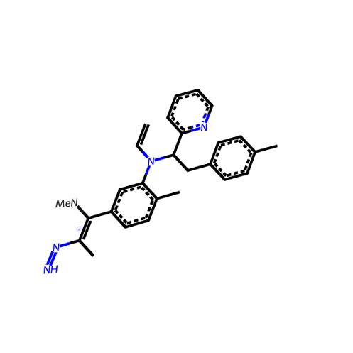 C=CN(c1cc(/C(NC)=C(\C)N=N)ccc1C)C(Cc1ccc(C)cc1)c1ccccn1